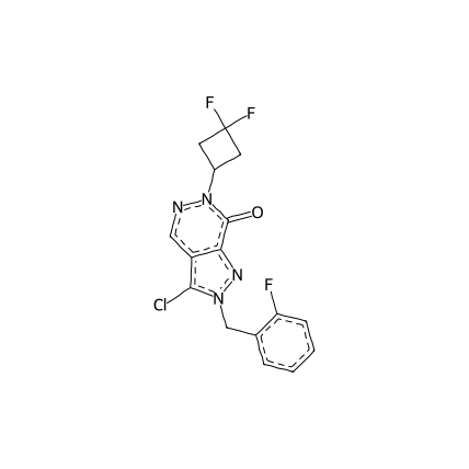 O=c1c2nn(Cc3ccccc3F)c(Cl)c2cnn1C1CC(F)(F)C1